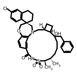 C[C@@H]1[C@@H](C)CCC[C@](O)(Cc2ccccc2)[C@@H]2CC[C@H]2CN2C[C@@]3(CCCc4cc(Cl)ccc43)COc3ccc(cc32)C(=O)NS1(=O)=O